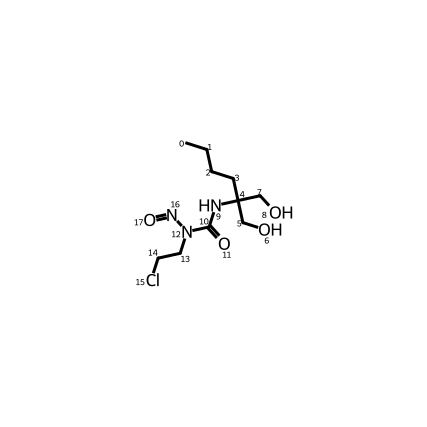 CCCCC(CO)(CO)NC(=O)N(CCCl)N=O